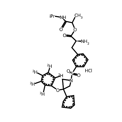 Cl.[2H]c1c([2H])c([2H])c(OC2(c3ccccc3)CN(S(=O)(=O)c3cccc(C[C@H](N)C(=O)OC(C)C(=O)NC(C)C)c3)C2)c([2H])c1[2H]